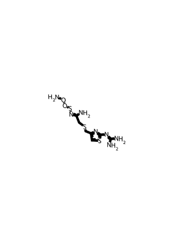 NOOS/N=C(\N)CSCc1csc(N=C(N)N)n1